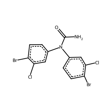 NC(=O)N(c1ccc(Br)c(Cl)c1)c1ccc(Br)c(Cl)c1